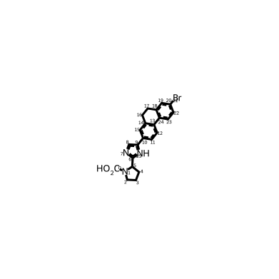 O=C(O)N1CCCC1c1ncc(-c2ccc3c(c2)CCc2cc(Br)ccc2-3)[nH]1